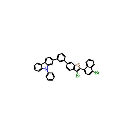 Brc1c(-c2ccc(Br)c3ccccc23)sc2cc(-c3cccc(-c4ccc5c6ccccc6n(-c6ccccc6)c5c4)c3)ccc12